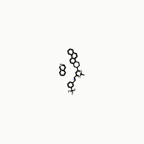 Cc1nc(/C=C/c2cccc(C(F)(F)F)c2)cc(C2CCc3c(ccc4c3ccc3ccccc34)C2)n1.c1ccc2cnccc2c1